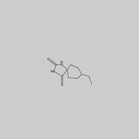 O=C1NC(=O)C2(CCC(CI)CC2)N1